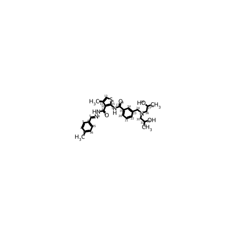 Cc1ccc(C=NNC(=O)c2c(C)csc2NC(=O)c2cccc(CN(CC(C)O)CC(C)O)c2)cc1